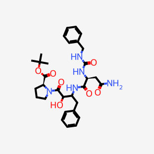 CC(C)(C)OC(=O)[C@@H]1CCCN1C(=O)C(O)C(Cc1ccccc1)NC(=O)[C@H](CC(N)=O)NC(=O)NCc1ccccc1